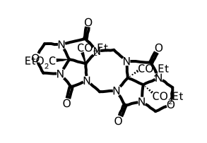 CCOC(=O)[C@]12N3COCN1C(=O)N1CN4C(=O)N5COCN6C(=O)N(CN(C3=O)[C@]12C(=O)OCC)[C@@]4(C(=O)OCC)[C@@]65C(=O)OCC